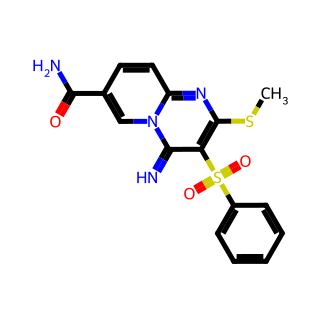 CSc1nc2ccc(C(N)=O)cn2c(=N)c1S(=O)(=O)c1ccccc1